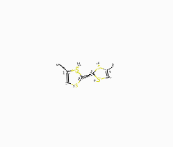 CC1=CS/C(=C2\SC=C(C)S2)S1